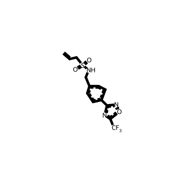 C=CCS(=O)(=O)NCc1ccc(-c2noc(C(F)(F)F)n2)cc1